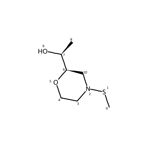 CSN1CCO[C@@H]([C@H](C)O)C1